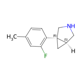 Cc1ccc([C@]23CNC[C@H]2C3)c(F)c1